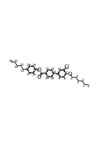 CCCCCCOc1ccc(-c2ccc(C(=O)Oc3ccc(CCCCC)cc3)cc2)cc1Cl